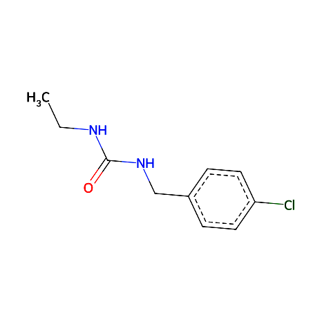 CCNC(=O)NCc1ccc(Cl)cc1